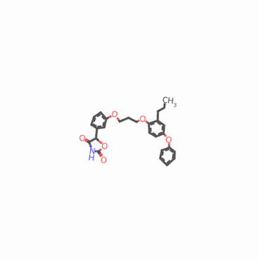 CCCc1cc(Oc2ccccc2)ccc1OCCCOc1cccc(C2OC(=O)NC2=O)c1